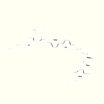 CC(C)[C@H](NC(=O)CCc1ccc(-c2ccc(CCCCNC(=N)NC(=O)c3nc(Cl)c(N)nc3N)cc2)cc1)C(=O)N[C@@H](CCCCN)C(=O)O